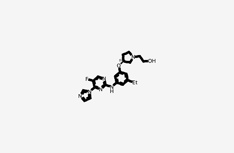 CCc1cc(Nc2ncc(F)c(-n3ccnc3)n2)cc(O[C@H]2CCN(CCO)C2)c1